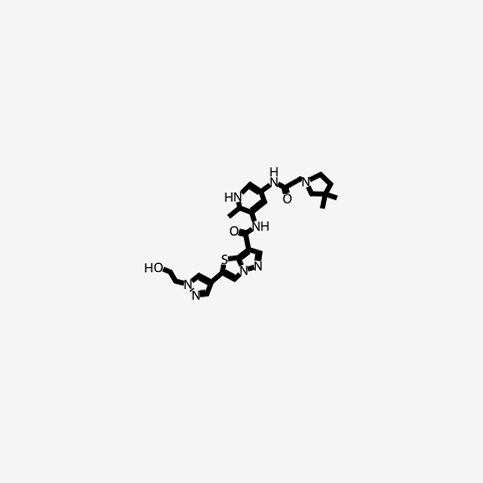 CC1NC=C(NC(=O)CN2CCC(C)(C)C2)C=C1NC(=O)c1cnn2cc(-c3cnn(CCO)c3)sc12